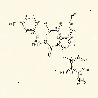 CC(C)(C)OC(=O)n1c(Cn2cccc(N)c2=O)cc2cc(F)cc(OCc3ccc(F)cc3F)c21